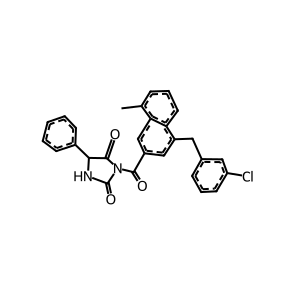 Cc1cccc2c(Cc3cccc(Cl)c3)cc(C(=O)N3C(=O)NC(c4ccccc4)C3=O)cc12